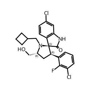 O=C1Nc2cc(Cl)ccc2[C@@]12[C@@H](c1cccc(Cl)c1F)C[C@H](CO)N2CC1CCC1